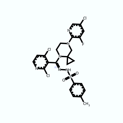 Cc1ccc(S(=O)(=O)N/N=C(/c2c(Cl)ccnc2Cl)N2CCN(c3ncc(Cl)cc3F)CC23CC3)cc1